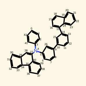 c1ccc(N(c2cccc(-c3cccc(-c4cccc5ccccc45)c3)c2)c2cc3ccccc3c3ccccc23)cc1